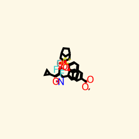 COC(=O)c1ccc2cc([S+]([O-])C3C4CCC3CC(OCc3c(-c5ccccc5OC(F)(F)F)noc3C3CC3)C4)ccc2c1